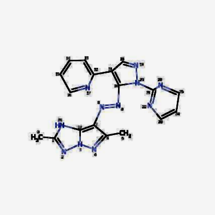 Cc1nn2nc(C)c(/N=N/c3c(-c4ccccn4)cnn3-c3ncccn3)c2[nH]1